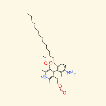 CCCCCCCCCCCCCCCc1ccc(N)c(C)c1C1C(CCOC=O)=C(C)NC(C)=C1C(=O)OCC